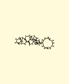 C[C@]12CC=C3C4=C(CC[C@H]3[C@@H]1CC[C@@]2(O)/C=C/C1CCCCCCCCCCC1)CC1(CC4)OCCO1